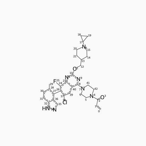 C=CC(=O)N1CCN(c2nc(OCC3CCN(C4CC4)CC3)nc3c(F)c(-c4c(C)ccc5[nH]ncc45)c(Cl)cc23)CC1